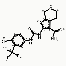 NC(=O)c1c(NC(=O)Nc2ccc(Cl)c(C(F)(F)F)c2)sc2c1CCOC2